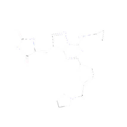 O=C1NC(=O)/C(=C/c2cnn3c(NC4CC4)nc(C4CC=C(C(=O)N5CCCC5)S4)nc23)N1